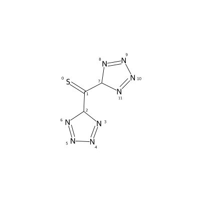 S=C(C1N=NN=N1)C1N=NN=N1